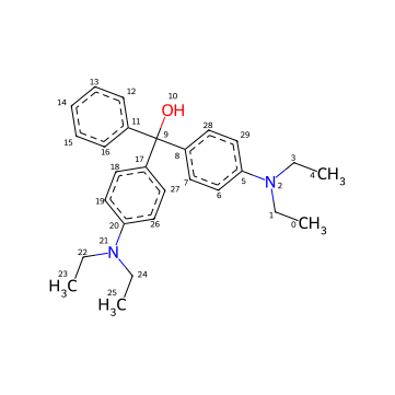 CCN(CC)c1ccc(C(O)(c2ccccc2)c2ccc(N(CC)CC)cc2)cc1